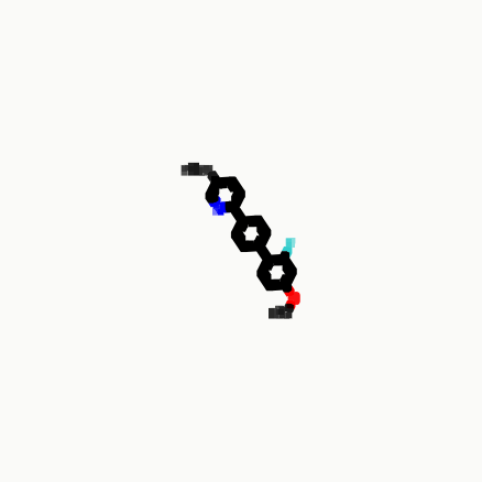 CCCCCCc1ccc(-c2ccc(-c3ccc(OCCCC)cc3F)cc2)nc1